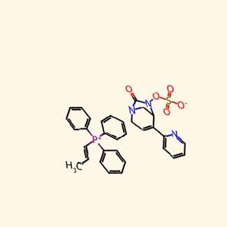 CC=C[P+](c1ccccc1)(c1ccccc1)c1ccccc1.O=C1N2CC=C(c3ccccn3)C(C2)N1OS(=O)(=O)[O-]